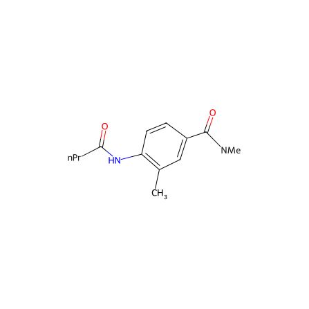 CCCC(=O)Nc1ccc(C(=O)NC)cc1C